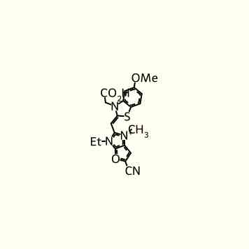 CCn1c(/C=C2\Sc3ccc(OC)cc3N2CC(=O)O)[n+](C)c2cc(C#N)oc21